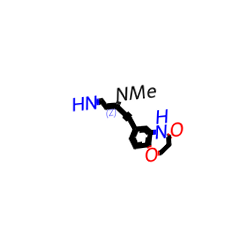 CN/C(C#Cc1ccc2c(c1)NC(=O)CCO2)=C\C=N